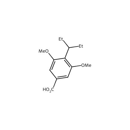 CCC(CC)c1c(OC)cc(C(=O)O)cc1OC